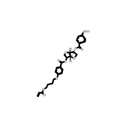 C=CC(=O)OCCCCOc1ccc(C(=O)OC2CO[C@H]3[C@@H]2OC[C@H]3OC(=O)c2ccc(CCCCCCCC)cc2)cc1